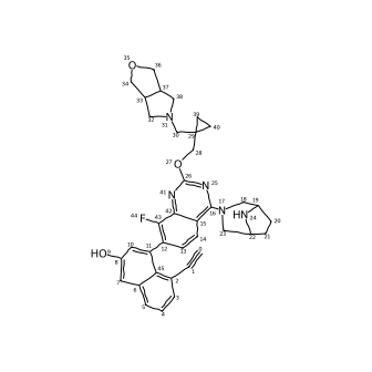 C#Cc1cccc2cc(O)cc(-c3ccc4c(N5CC6CCC(C5)N6)nc(OCC5(CN6CC7COCC7C6)CC5)nc4c3F)c12